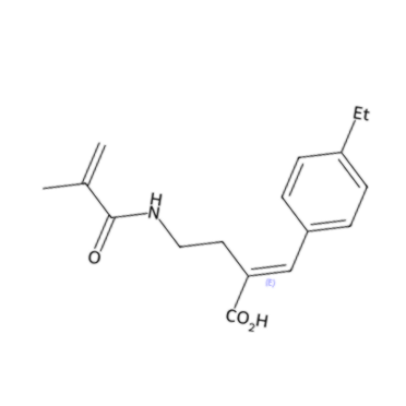 C=C(C)C(=O)NCC/C(=C\c1ccc(CC)cc1)C(=O)O